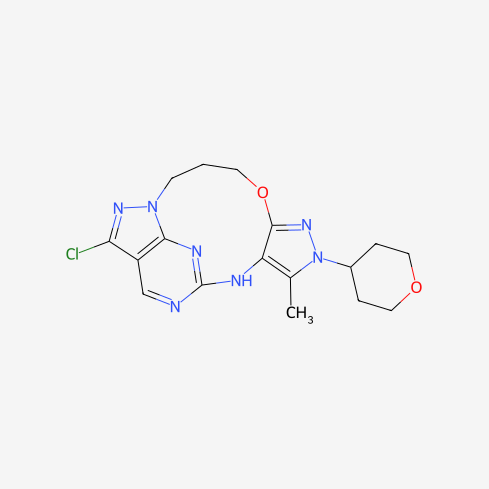 Cc1c2c(nn1C1CCOCC1)OCCCn1nc(Cl)c3cnc(nc31)N2